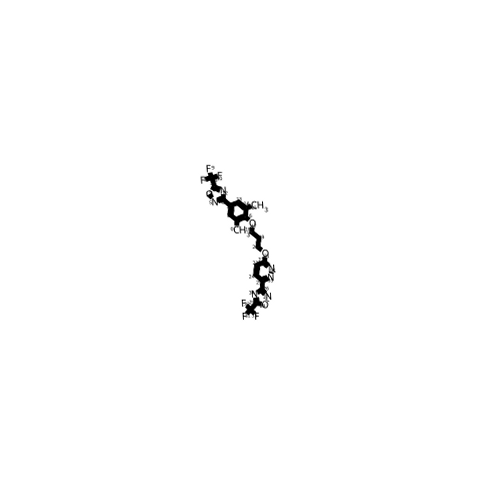 Cc1cc(-c2noc(C(F)(F)F)n2)cc(C)c1OCCCOc1ccc(-c2noc(C(F)(F)F)n2)nn1